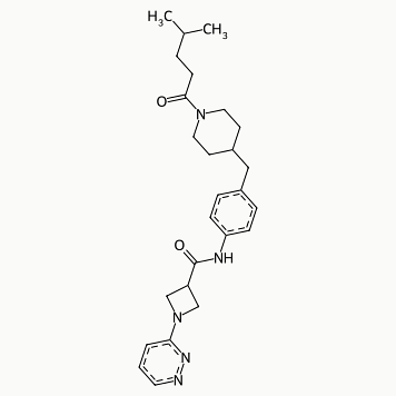 CC(C)CCC(=O)N1CCC(Cc2ccc(NC(=O)C3CN(c4cccnn4)C3)cc2)CC1